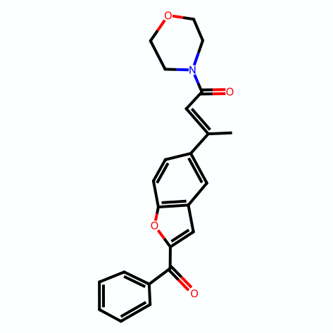 CC(=CC(=O)N1CCOCC1)c1ccc2oc(C(=O)c3ccccc3)cc2c1